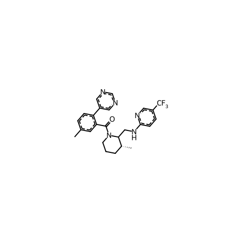 Cc1ccc(-c2cncnc2)c(C(=O)N2CCC[C@@H](C)C2CNc2ccc(C(F)(F)F)cn2)c1